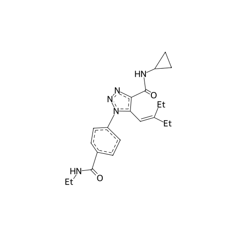 CCNC(=O)c1ccc(-n2nnc(C(=O)NC3CC3)c2C=C(CC)CC)cc1